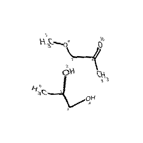 CC(O)CO.COCC(C)=O